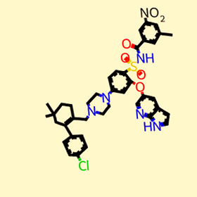 Cc1cc(C(=O)NS(=O)(=O)c2ccc(N3CCN(CC4=C(c5ccc(Cl)cc5)CC(C)(C)CC4)CC3)cc2Oc2cnc3[nH]ccc3c2)cc([N+](=O)[O-])c1